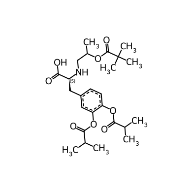 CC(CN[C@@H](Cc1ccc(OC(=O)C(C)C)c(OC(=O)C(C)C)c1)C(=O)O)OC(=O)C(C)(C)C